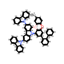 CC(C)(C)c1ccc2c(c1)B1c3c(cc(-c4ccccc4-c4ccccc4)cc3-n3c4ccc(-n5c6ccccc6c6ccccc65)cc4c4cc(-n5c6ccccc6c6ccccc65)cc1c43)O2